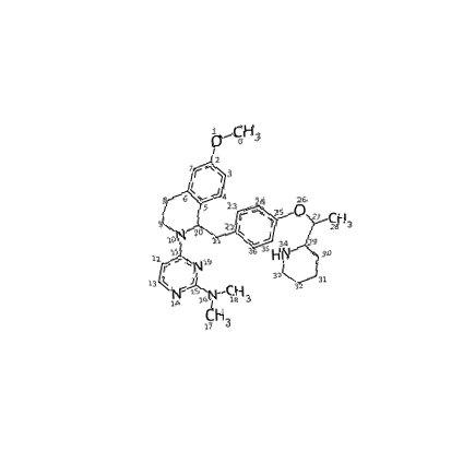 COc1ccc2c(c1)CCN(c1ccnc(N(C)C)n1)C2Cc1ccc(OC(C)C2CCCCN2)cc1